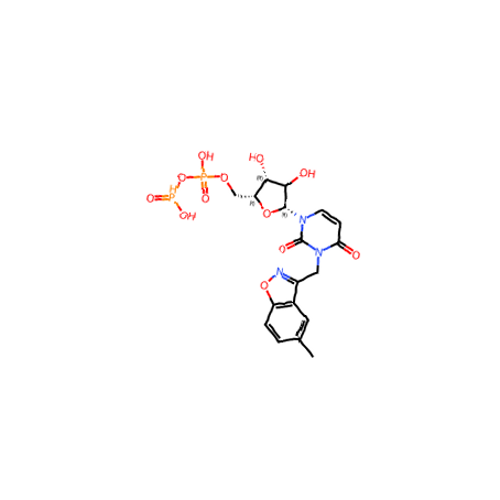 Cc1ccc2onc(Cn3c(=O)ccn([C@@H]4O[C@H](COP(=O)(O)O[PH](=O)O)[C@H](O)C4O)c3=O)c2c1